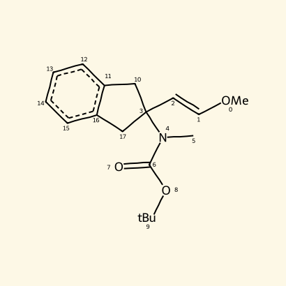 COC=CC1(N(C)C(=O)OC(C)(C)C)Cc2ccccc2C1